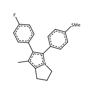 CSc1ccc(-c2c(-c3ccc(F)cc3)c(C)c3n2CCC3)cc1